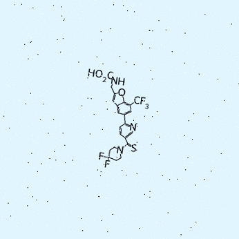 O=C(O)NCc1cc2cc(-c3ccc(C(=S)N4CCC(F)(F)CC4)cn3)cc(C(F)(F)F)c2o1